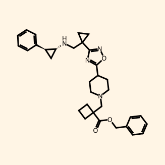 O=C(OCc1ccccc1)C1(CN2CCC(c3nc(C4(CN[C@@H]5C[C@H]5c5ccccc5)CC4)no3)CC2)CCC1